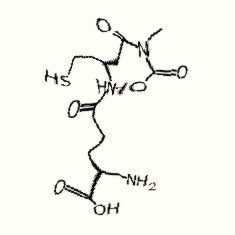 CN(C(=O)O)C(=O)C(CS)NC(=O)CCC(N)C(=O)O